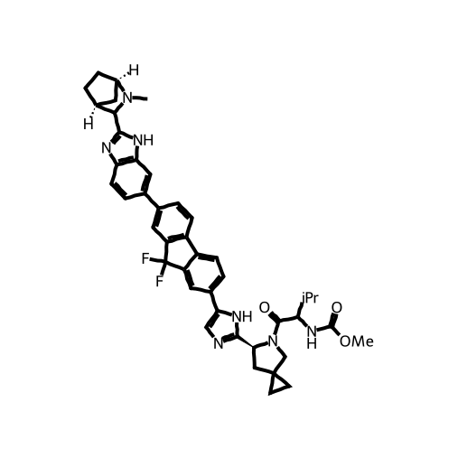 COC(=O)NC(C(=O)N1CC2(CC2)C[C@H]1c1ncc(-c2ccc3c(c2)C(F)(F)c2cc(-c4ccc5nc(C6[C@H]7CC[C@H](C7)N6C)[nH]c5c4)ccc2-3)[nH]1)C(C)C